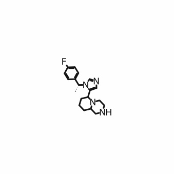 C[C@H](c1ccc(F)cc1)n1cncc1C1CCCC2CNCCN21